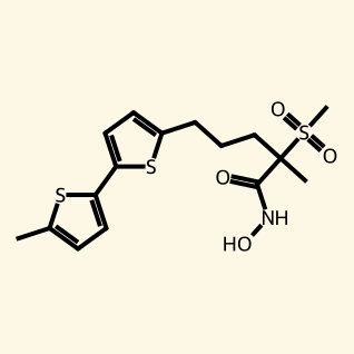 Cc1ccc(-c2ccc(CCCC(C)(C(=O)NO)S(C)(=O)=O)s2)s1